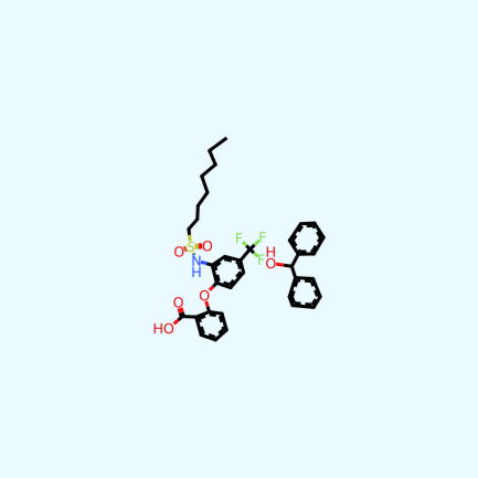 CCCCCCCCS(=O)(=O)Nc1cc(C(F)(F)F)ccc1Oc1ccccc1C(=O)O.OC(c1ccccc1)c1ccccc1